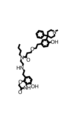 CCCCN(CCNCCc1ccc(O)c2c1OCC(=O)N2)C(=O)CCOCCc1ccc(O)c(C2(c3ccccc3)CCN(C)CC2)c1